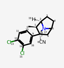 C[C@H]1[C@H]2CCC(C[C@@]1(C#N)c1ccc(Cl)c(Cl)c1)N2C